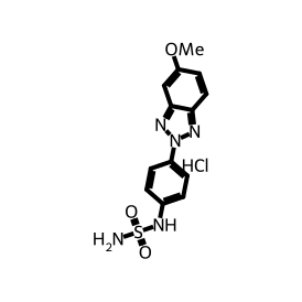 COc1ccc2nn(-c3ccc(NS(N)(=O)=O)cc3)nc2c1.Cl